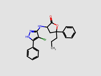 CCCC1(c2ccccc2)CC(Nc2n[nH]c(-c3ccccc3)c2Br)C(=O)O1